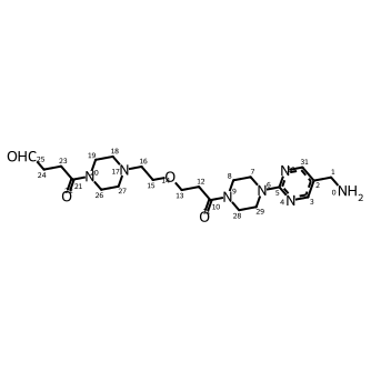 NCc1cnc(N2CCN(C(=O)CCOCCN3CCN(C(=O)CCC=O)CC3)CC2)nc1